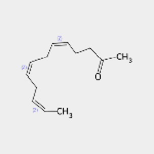 C/C=C\C/C=C\C/C=C\CCC(C)=O